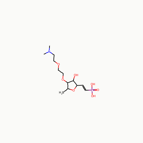 BC1OC(/C=C/P(=O)(O)O)C(O)C1OCCOCCN(C)C